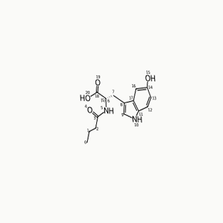 CCCC(=O)N[C@@H](Cc1c[nH]c2ccc(O)cc12)C(=O)O